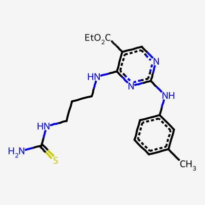 CCOC(=O)c1cnc(Nc2cccc(C)c2)nc1NCCCNC(N)=S